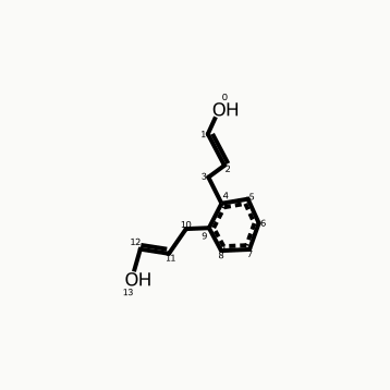 OC=CCc1ccccc1CC=CO